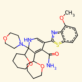 COc1cccc2sc(C3=CNC(C4CCCCO4)(N4CCOCC4)C(C4CCCCO4)=C3C(N)=O)nc12